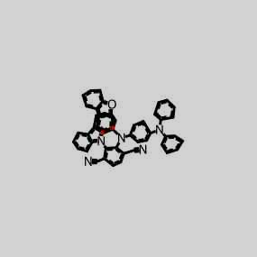 N#Cc1ccc(C#N)c(-n2c3ccccc3c3ccccc32)c1N(c1ccc(N(c2ccccc2)c2ccccc2)cc1)c1ccc2c(c1)oc1ccccc12